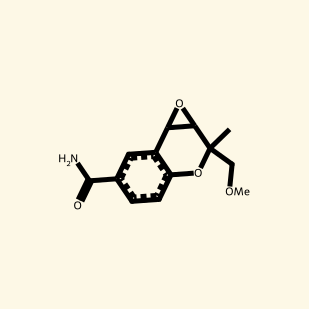 COCC1(C)Oc2ccc(C(N)=O)cc2C2OC21